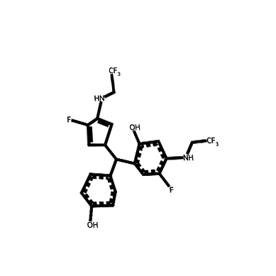 Oc1ccc(C(c2cc(F)c(NCC(F)(F)F)cc2O)C2C=C(F)C(NCC(F)(F)F)=C2)cc1